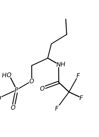 CCCC(COP(=O)(O)O)NC(=O)C(F)(F)F